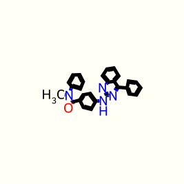 CN(C(=O)c1ccc(Nc2nc(-c3ccccc3)c3ccccc3n2)cc1)c1ccccc1